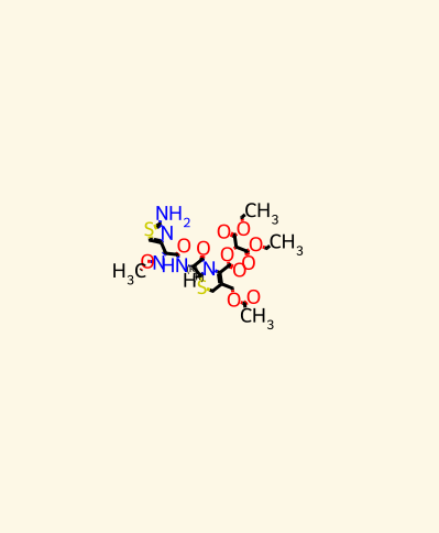 CCOC(=O)C(OC(=O)C1=C(COC(C)=O)CS[C@@H]2[C@H](NC(=O)C(=NOC)c3csc(N)n3)C(=O)N12)C(=O)OCC